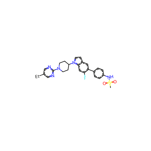 CCc1cnc(N2CCC(n3ccc4cc(-c5ccc(NS(C)(=O)=O)cc5)c(F)cc43)CC2)nc1